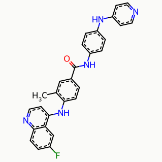 Cc1cc(C(=O)Nc2ccc(Nc3ccncc3)cc2)ccc1Nc1ccnc2ccc(F)cc12